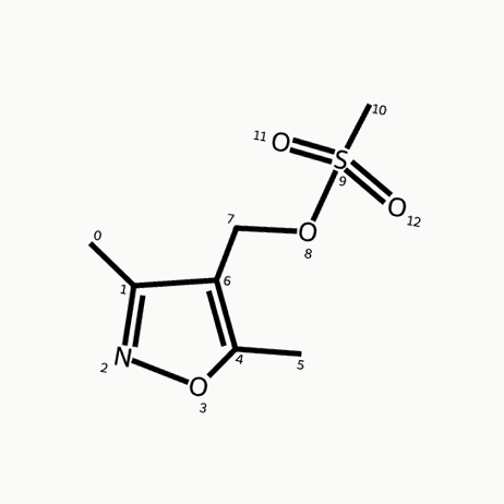 Cc1noc(C)c1COS(C)(=O)=O